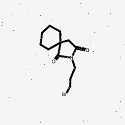 O=C1CC2(CCCCC2)C(=O)N1CCCBr